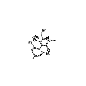 CCCCOc1c(CBr)nn(C)c(=O)c1-c1c(CC)cc(C)cc1CC